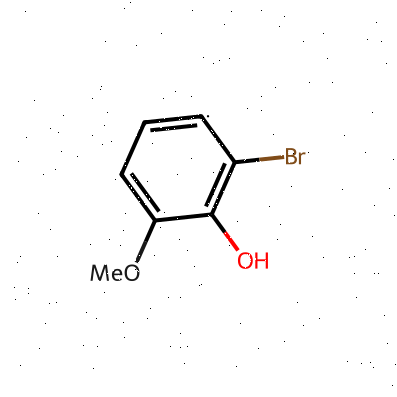 COc1cc[c]c(Br)c1O